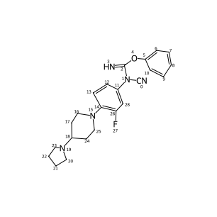 N#CN(C(=N)Oc1ccccc1)c1ccc(N2CCC(N3CCCC3)CC2)c(F)c1